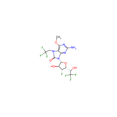 COc1nc(N)nc2c1n(CC(F)(F)F)c(=O)n2[C@@H]1O[C@H](C(O)C(F)(F)F)[C@H](F)[C@H]1O